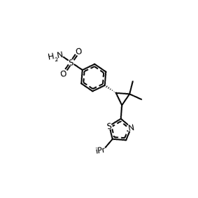 CC(C)c1cnc(C2[C@H](c3ccc(S(N)(=O)=O)cc3)C2(C)C)s1